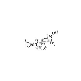 Cc1cc(O)nc2ccc(NC(=O)c3cc(N4CC[C@H](F)C4)cnc3N3CCOCC3)cc12